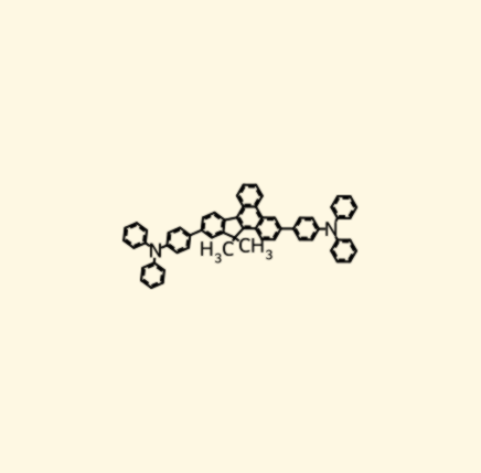 CC1(C)c2cc(-c3ccc(N(c4ccccc4)c4ccccc4)cc3)ccc2-c2c1c1ccc(-c3ccc(N(c4ccccc4)c4ccccc4)cc3)cc1c1ccccc21